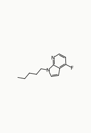 CCCCCn1ccc2c(F)ccnc21